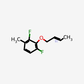 C/C=C/COc1c(F)ccc(C)c1F